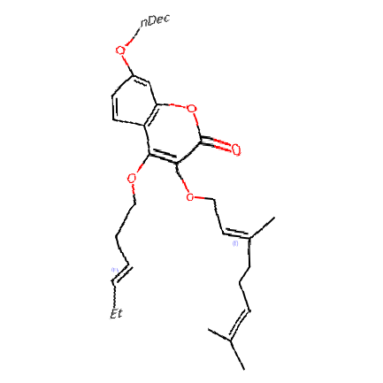 CC/C=C/CCOc1c(OC/C=C(\C)CCC=C(C)C)c(=O)oc2cc(OCCCCCCCCCC)ccc12